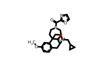 COc1ccc2c(c1)C13CCN(C(=O)c4ncco4)CCC1(O)C(C2)N(CC1CC1)CC3